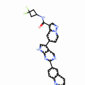 O=C(NC1CC(F)(F)C1)c1cnn2ccc(-c3c[nH]c4nc(-c5ccc6ncccc6c5)ncc34)cc12